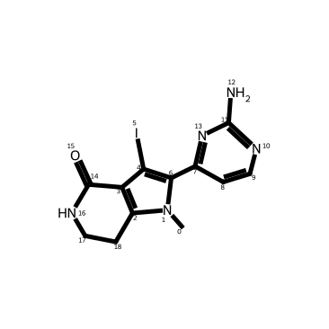 Cn1c2c(c(I)c1-c1ccnc(N)n1)C(=O)NCC2